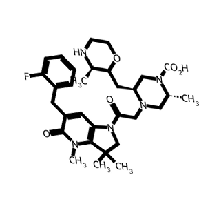 C[C@@H]1CN(CC(=O)N2CC(C)(C)c3c2cc(Cc2ccccc2F)c(=O)n3C)[C@@H](CC2OCCN[C@@H]2C)CN1C(=O)O